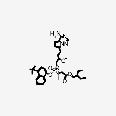 CCC(CC)COC(=O)CNP(=O)(OCC(CCc1ccc2c(N)ncnn12)OC)Oc1ccc(C(C)(C)C)c2ccccc12